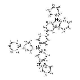 c1ccc(-c2ccc(N(c3ccc(-c4ccc5c(c4)c4ccccc4n5-c4ccccc4)cc3)c3ccc4c(c3)oc3ccccc34)cc2)cc1